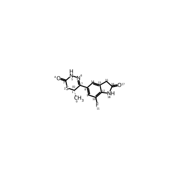 C[C@@H]1SC(=O)NN=C1c1cc(F)c2c(c1)CC(=O)N2